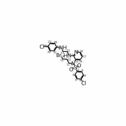 O=S(=O)(c1ccc(Cl)cc1)N(CCCBr)c1cccnc1NCCNc1ccc(Cl)cc1